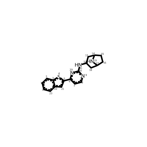 c1ccc2sc(-c3ccnc(NC4CC5CCC(C4)N5)n3)cc2c1